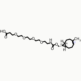 C/C1=C/CC[C@H]2[C@@H](CC1)[C@H]2COC(=O)NCCOCCOCCOCCOCCC(=O)O